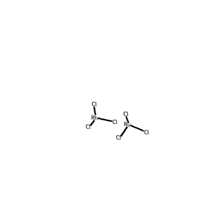 [Cl][Rh]([Cl])[Cl].[Cl][Ru]([Cl])[Cl]